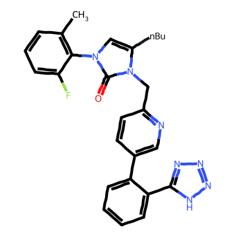 CCCCc1cn(-c2c(C)cccc2F)c(=O)n1Cc1ccc(-c2ccccc2-c2nnn[nH]2)cn1